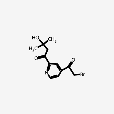 CC(C)(O)CC(=O)c1cc(C(=O)CBr)ccn1